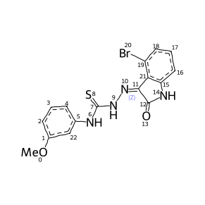 COc1cccc(NC(=S)N/N=C2\C(=O)Nc3cccc(Br)c32)c1